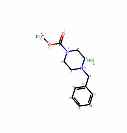 Cl.O=C(OC(Cl)(Cl)Cl)N1CCN(Cc2ccccc2)CC1